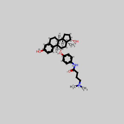 CN(C)CCCC(=O)Nc1ccc(O[C@H]2C[C@]3(C)[C@@H](O)CC[C@H]3[C@@H]3CCc4cc(O)ccc4[C@H]32)cc1